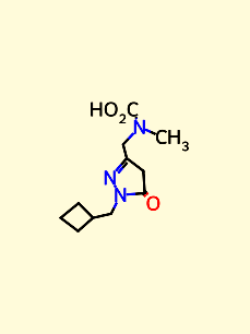 CN(CC1=NN(CC2CCC2)C(=O)C1)C(=O)O